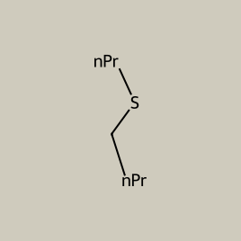 CCCCSCCC